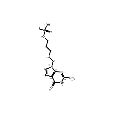 CP(=O)(O)OCCCOCn1cnc2c(=O)[nH]c(N)nc21